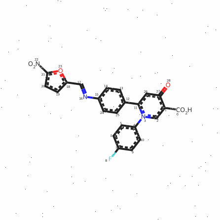 O=C(O)c1cn(-c2ccc(F)cc2)c(-c2ccc(/N=C/c3ccc([N+](=O)[O-])o3)cc2)cc1=O